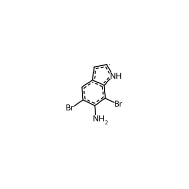 Nc1c(Br)cc2c[c][nH]c2c1Br